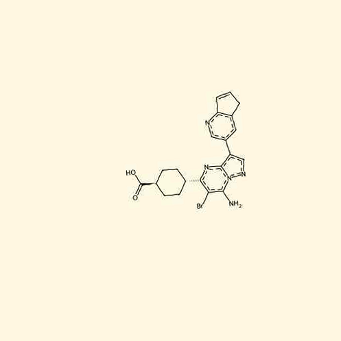 Nc1c(Br)c([C@H]2CC[C@H](C(=O)O)CC2)nc2c(-c3cnc4c(c3)CC=C4)cnn12